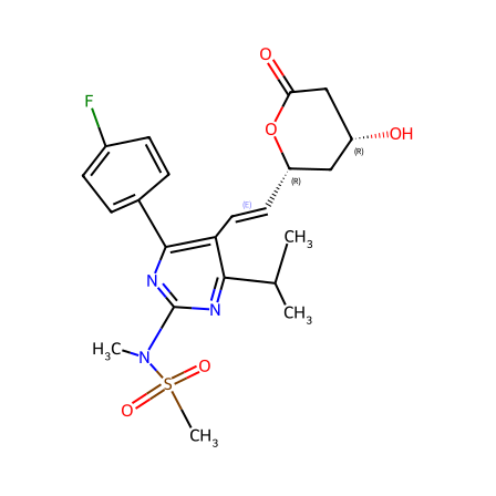 CC(C)c1nc(N(C)S(C)(=O)=O)nc(-c2ccc(F)cc2)c1/C=C/[C@H]1C[C@@H](O)CC(=O)O1